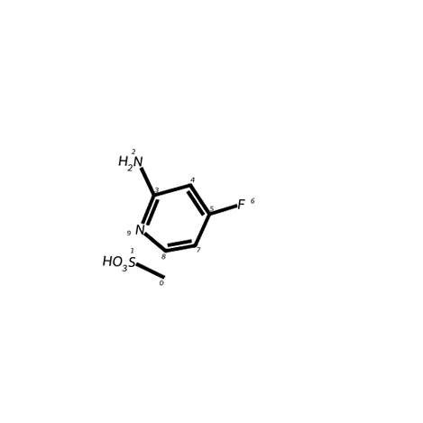 CS(=O)(=O)O.Nc1cc(F)ccn1